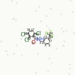 O=C(NCc1cccc(C(F)(F)F)c1)c1c(Cl)ccc(Cl)c1Cl